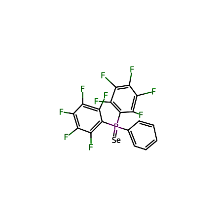 Fc1c(F)c(F)c(P(=[Se])(c2ccccc2)c2c(F)c(F)c(F)c(F)c2F)c(F)c1F